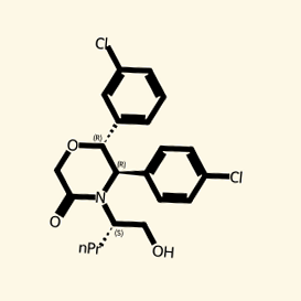 CCC[C@@H](CO)N1C(=O)CO[C@H](c2cccc(Cl)c2)[C@H]1c1ccc(Cl)cc1